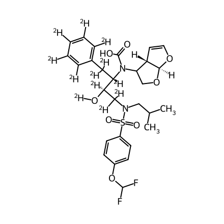 [2H]O[C@]([2H])(C([2H])([2H])N(CC(C)C)S(=O)(=O)c1ccc(OC(F)F)cc1)[C@@]([2H])(N(C(=O)O)C1CO[C@@H]2OC=C[C@@H]12)C([2H])([2H])c1c([2H])c([2H])c([2H])c([2H])c1[2H]